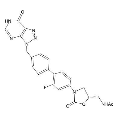 CC(=O)NC[C@H]1CN(c2ccc(-c3ccc(Cn4nnc5c(=O)[nH]cnc54)cc3)c(F)c2)C(=O)O1